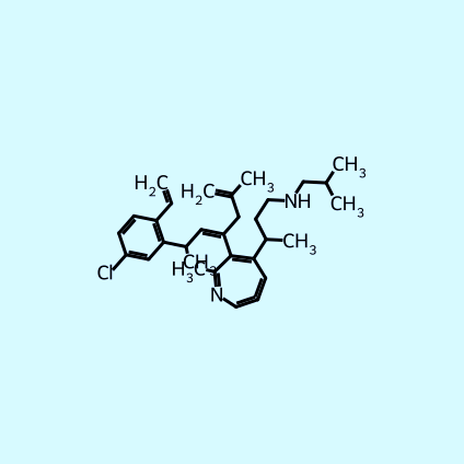 C=Cc1ccc(Cl)cc1C(C)/C=C(/CC(=C)C)C1=C(C(C)CCNCC(C)C)C=C=CN=C1C